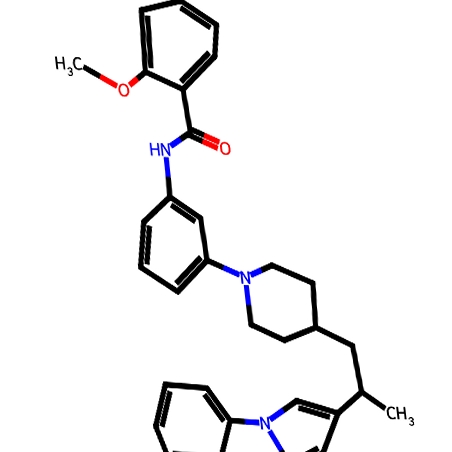 COc1ccccc1C(=O)Nc1cccc(N2CCC(CC(C)c3ccn(-c4ccccc4)c3)CC2)c1